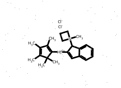 CC1=C(C)C(C)(C)[C]([Hf+2][C]2=Cc3ccccc3C2[Si]2(C)CCC2)=C1C.[Cl-].[Cl-]